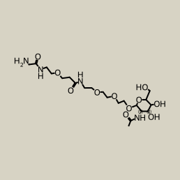 CC(=O)N[C@@H]1C(OCCOCCOCCNC(=O)CCOCCNC(=O)CN)OC(CO)C(O)[C@@H]1O